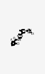 CCn1nnc(N2CCC(C)=C(c3cnc(NC(=O)c4c(F)cccc4Cl)cn3)C2)n1